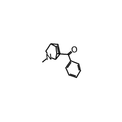 CN1CC2C=CC1C(C(=O)c1ccccc1)C2